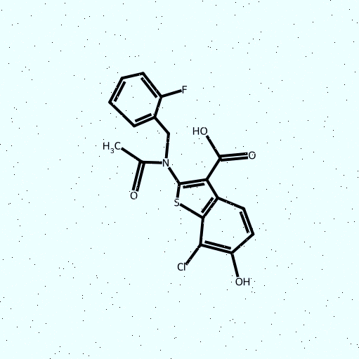 CC(=O)N(Cc1ccccc1F)c1sc2c(Cl)c(O)ccc2c1C(=O)O